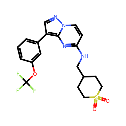 O=S1(=O)CCC(CNc2ccn3ncc(-c4cccc(OC(F)(F)F)c4)c3n2)CC1